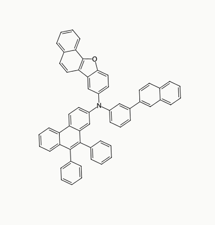 c1ccc(-c2c(-c3ccccc3)c3cc(N(c4cccc(-c5ccc6ccccc6c5)c4)c4ccc5oc6c7ccccc7ccc6c5c4)ccc3c3ccccc23)cc1